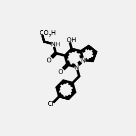 O=C(O)CNC(=O)c1c(O)c2cccn2n(Cc2ccc(Cl)cc2)c1=O